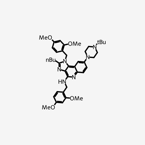 CCCCc1nc2c(NCc3ccc(OC)cc3OC)nc3ccc(N4CCN(C(C)(C)C)CC4)cc3c2n1Cc1ccc(OC)cc1OC